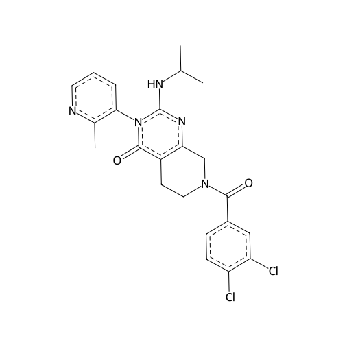 Cc1ncccc1-n1c(NC(C)C)nc2c(c1=O)CCN(C(=O)c1ccc(Cl)c(Cl)c1)C2